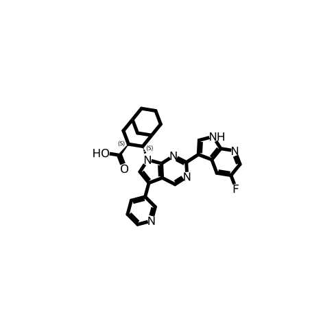 O=C(O)[C@H]1CC2CCCC(C2)[C@@H]1n1cc(-c2cccnc2)c2cnc(-c3c[nH]c4ncc(F)cc34)nc21